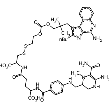 CCCCc1nc2c(N)nc3ccccc3c2n1CC(C)(C)COC(=O)OCCSSCC(NC(=O)CCC(NC(=O)c1ccc(NCC2CNC(N)=C(C(N)=O)N2C)cc1)C(=O)O)C(=O)O